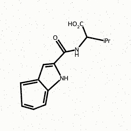 CC(C)C(NC(=O)c1cc2ccccc2[nH]1)C(=O)O